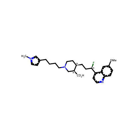 COc1ccc2nccc([C@H](F)CC[C@@H]3CCN(CCCCc4ccn(C)c4)C[C@@H]3C(=O)O)c2c1